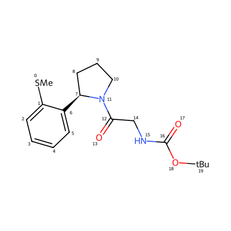 CSc1ccccc1[C@H]1CCCN1C(=O)CNC(=O)OC(C)(C)C